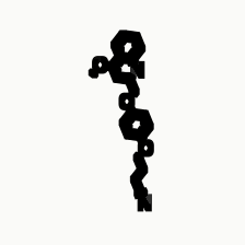 COc1cc(COc2ccc(OCCCC#N)cc2)nc2ccccc12